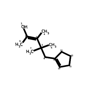 C/C(O)=C(/C)C(C)(C)CC1=CCCC1